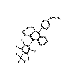 COc1ccc(-c2c3ccccc3c(-c3c(F)c(F)c(C(F)(F)F)c(F)c3F)c3ccccc23)cc1